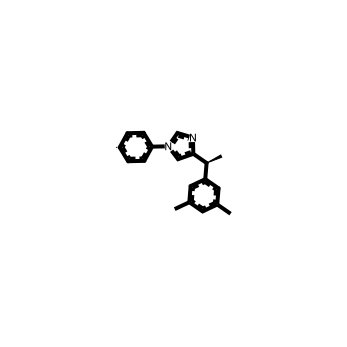 Cc1cc(C)cc([C@H](C)c2cn(-c3cc[c]cc3)cn2)c1